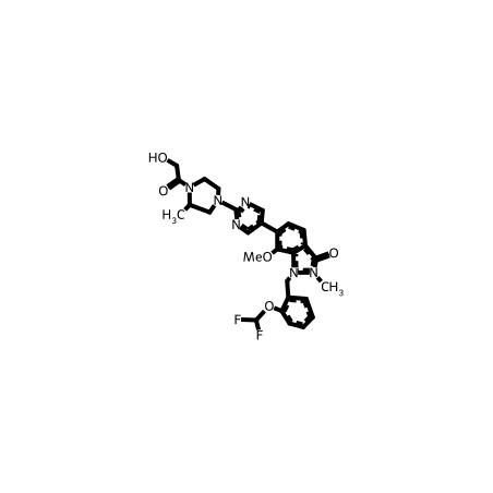 COc1c(-c2cnc(N3CCN(C(=O)CO)C(C)C3)nc2)ccc2c(=O)n(C)n(Cc3ccccc3OC(F)F)c12